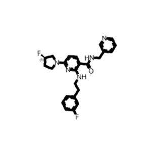 O=C(NCc1cccnc1)c1ccc(N2CC[C@@H](F)C2)nc1NCCc1cccc(F)c1